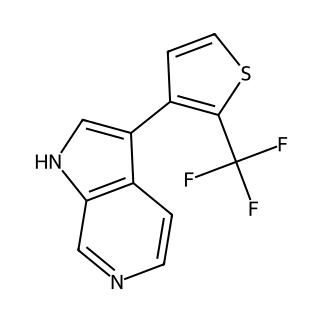 FC(F)(F)c1sccc1-c1c[nH]c2cnccc12